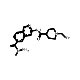 C=C(c1ccc2cnc(NC(=O)C3CCN(CC(C)C)CC3)cc2c1)N(C)N